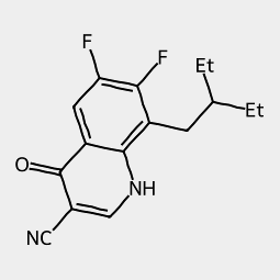 CCC(CC)Cc1c(F)c(F)cc2c(=O)c(C#N)c[nH]c12